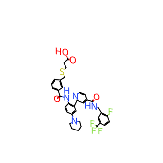 O=C(O)CCSCc1cccc(C(=O)Nc2ccc(N3CCCCC3)cc2-c2cc(C(=O)NCc3cc(C(F)(F)F)ccc3F)ccn2)c1